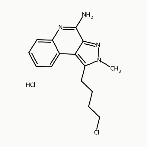 Cl.Cn1nc2c(N)nc3ccccc3c2c1CCCCCl